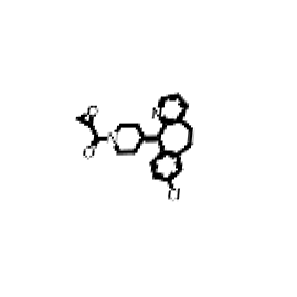 O=C(C1CO1)N1CCC(=C2c3ccc(Cl)cc3CCc3cccnc32)CC1